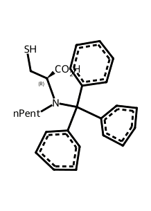 CCCCCN([C@@H](CS)C(=O)O)C(c1ccccc1)(c1ccccc1)c1ccccc1